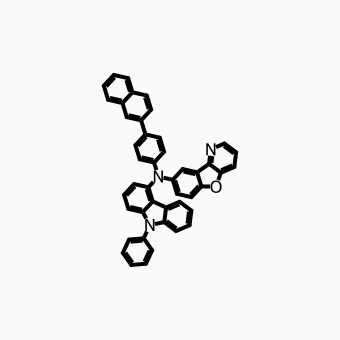 c1ccc(-n2c3ccccc3c3c(N(c4ccc(-c5ccc6ccccc6c5)cc4)c4ccc5oc6cccnc6c5c4)cccc32)cc1